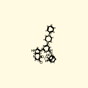 O=C(O)[C@H]1C2CCC(CC2)[C@@H]1Nc1cc(N2CCN(c3ccccc3)CC2)nc(-c2c[nH]c3ncc(Cl)nc23)n1